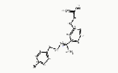 C/C(=N\OCc1ccc(Br)cc1)c1cccc(OCC(=O)O)c1